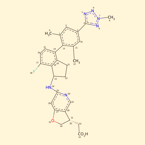 Cc1cc(-c2nnn(C)n2)cc(C)c1-c1ccc(F)c2c1CCC2Nc1cc2c(cn1)[C@H](CC(=O)O)CO2